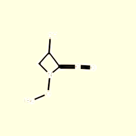 CC(C)(C)ON1CC(O)C1=C=O